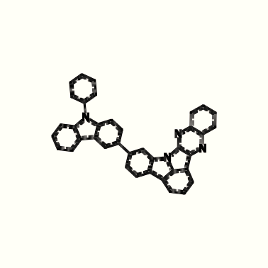 c1ccc(-n2c3ccccc3c3cc(-c4ccc5c6cccc7c8nc9ccccc9nc8n(c5c4)c67)ccc32)cc1